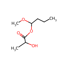 CCCC(OC)OC(=O)C(C)O